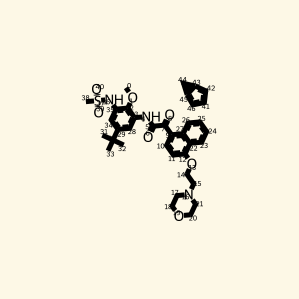 COc1c(NC(=O)C(=O)c2ccc(OCCN3CCOCC3)c3ccccc23)cc(C(C)(C)C)cc1NS(C)(=O)=O.c1cc2cc-2c1